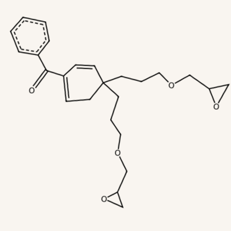 O=C(C1=CCC(CCCOCC2CO2)(CCCOCC2CO2)C=C1)c1ccccc1